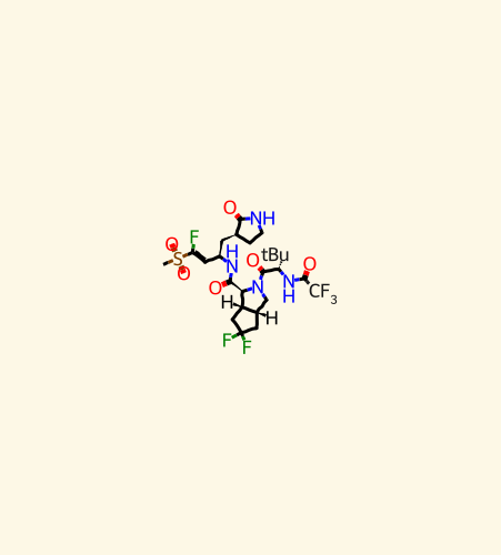 CC(C)(C)[C@H](NC(=O)C(F)(F)F)C(=O)N1C[C@@H]2CC(F)(F)C[C@@H]2[C@H]1C(=O)N[C@@H](/C=C(\F)S(C)(=O)=O)C[C@@H]1CCNC1=O